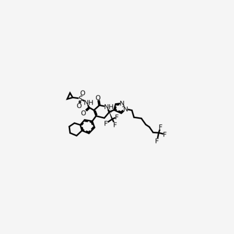 O=C1N[C@@](c2cnn(CCCCCCC(F)(F)F)c2)(C(F)(F)F)CC(c2ccc3c(c2)CCCC3)=C1C(=O)NS(=O)(=O)C1CC1